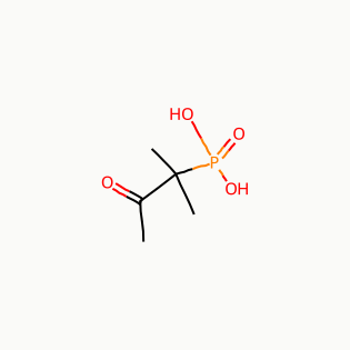 CC(=O)C(C)(C)P(=O)(O)O